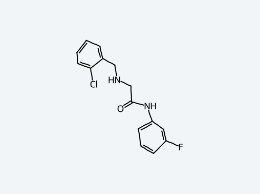 O=C(CNCc1ccccc1Cl)Nc1cccc(F)c1